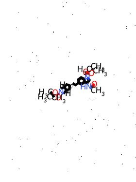 CC(=O)Nc1cn(C(=O)OC(C)(C)C)c2ccc(CC[C@@H]3C[C@@H]4CN(C(=O)OC(C)(C)C)C[C@@H]4C3)cc12